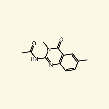 CC(=O)Nc1nc2ccc(C)cc2c(=O)n1C